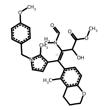 COC(=O)C(O)/C(=C(\c1ccc2c(c1C)CCCO2)c1ccn(Cc2ccc(OC)cc2)c1C)N(C)C=O